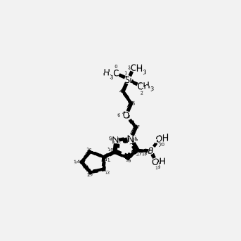 C[Si](C)(C)CCOCn1nc(C2CCCC2)cc1B(O)O